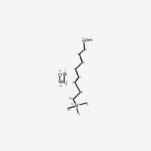 CBr.CCCCCCCCCCCCCCCCCC[N+](C)(C)C.NCl